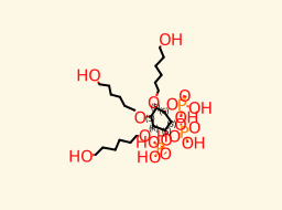 O=P(O)(O)O[C@@H]1[C@@H](OP(=O)(O)O)[C@H](OCCCCCCO)[C@@H](OCCCCCCO)[C@H](OCCCCCCO)[C@@H]1OP(=O)(O)O